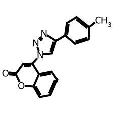 Cc1ccc(-c2cn(-c3cc(=O)oc4ccccc34)nn2)cc1